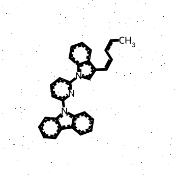 C/C=C\C=C/c1cn(-c2cccc(-n3c4ccccc4c4ccccc43)n2)c2ccccc12